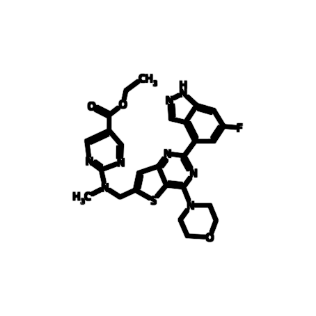 CCOC(=O)c1cnc(N(C)Cc2cc3nc(-c4cc(F)cc5[nH]ncc45)nc(N4CCOCC4)c3s2)nc1